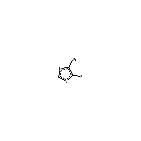 CC(C)c1ncsc1F